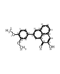 COc1ccc(-c2cc3c4c(cccc4c2)C=C(O)C3=O)cc1OC